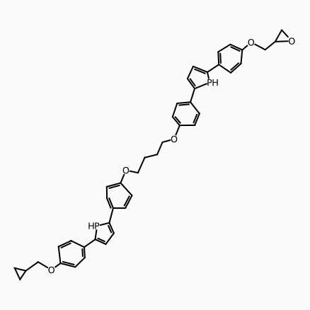 c1cc(-c2ccc(-c3ccc(OCC4CC4)cc3)[pH]2)ccc1OCCCCOc1ccc(-c2ccc(-c3ccc(OCC4CO4)cc3)[pH]2)cc1